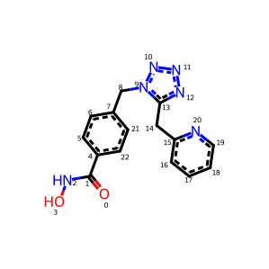 O=C(NO)c1ccc(Cn2nnnc2Cc2ccccn2)cc1